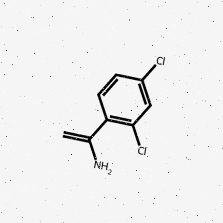 C=C(N)c1ccc(Cl)cc1Cl